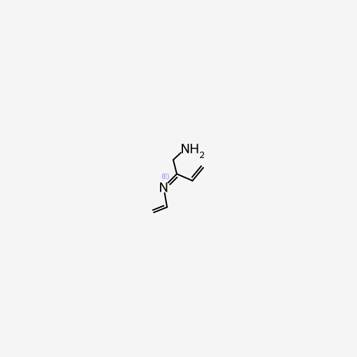 C=C/N=C(\C=C)CN